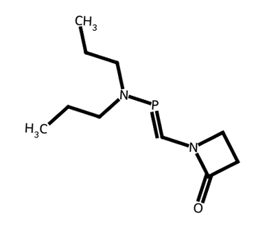 CCCN(CCC)/P=C/N1CCC1=O